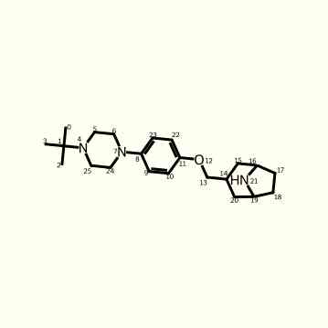 CC(C)(C)N1CCN(c2ccc(OCC3CC4CCC(C3)N4)cc2)CC1